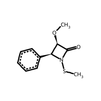 CO[C@H]1C(=O)N(SC)[C@H]1c1ccccc1